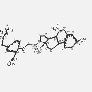 CCN(CC)Cc1ccc(OCC[C@H]2CCC3C4C(CC[C@@]32C)c2ccc(O)cc2C[C@H]4C)c(C=O)c1